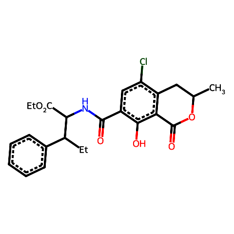 CCOC(=O)C(NC(=O)c1cc(Cl)c2c(c1O)C(=O)OC(C)C2)C(CC)c1ccccc1